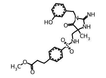 COC(=O)CCc1ccc(S(=O)(=O)NCC2(C)NC(=N)N(Cc3cccc(O)c3)C2=O)cc1